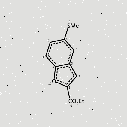 CCOC(=O)c1cc2cc(SC)ccc2o1